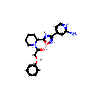 Nc1cc(-c2noc(C3CCCCN3C(=O)COc3ccccc3)n2)ccn1